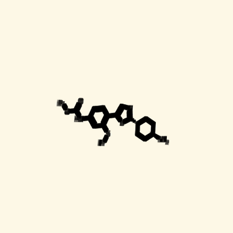 CC(C)OC(=O)Nc1ccc(-c2cnc([C@H]3CC[C@H](N)CC3)s2)c(SC(C)C)c1